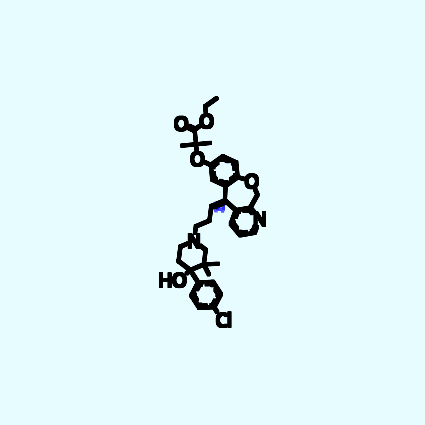 CCOC(=O)C(C)(C)Oc1ccc2c(c1)/C(=C/CCN1CCC(O)(c3ccc(Cl)cc3)C(C)(C)C1)c1cccnc1CO2